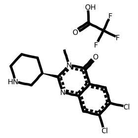 Cn1c([C@@H]2CCCNC2)nc2cc(Cl)c(Cl)cc2c1=O.O=C(O)C(F)(F)F